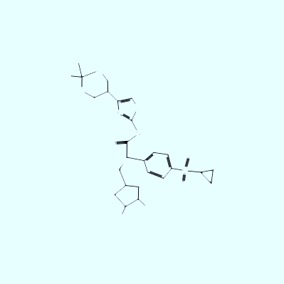 CC1(C)OCC(c2csc(NC(=O)[C@H](CC3CC(F)C(F)C3)c3ccc(S(=O)(=O)C4CC4)cc3)n2)CO1